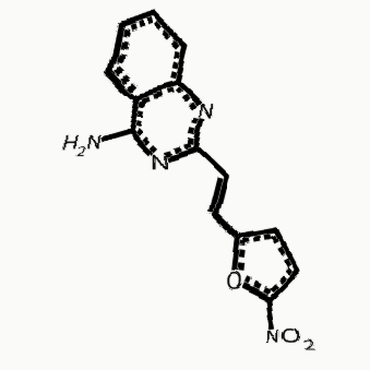 Nc1nc(/C=C/c2ccc([N+](=O)[O-])o2)nc2ccccc12